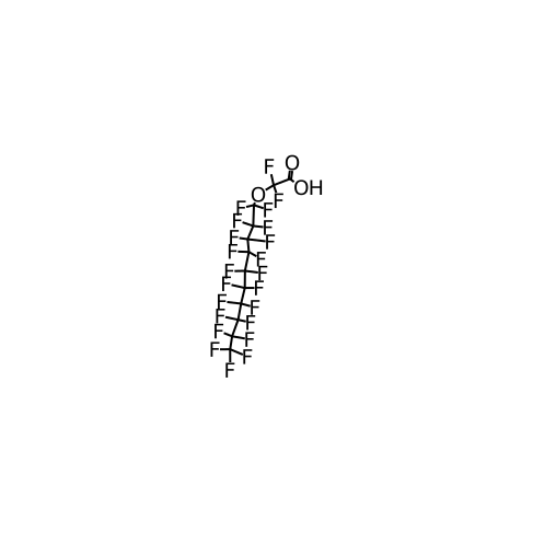 O=C(O)C(F)(F)OC(F)(F)C(F)(F)C(F)(F)C(F)(F)C(F)(F)C(F)(F)C(F)(F)C(F)(F)C(F)(F)C(F)(F)F